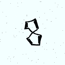 C1=CC2(C=C1)C=CC=C2